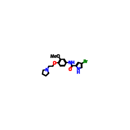 COc1cc(NC(=O)c2cc(Br)c[nH]2)ccc1OCCN1CCCC1